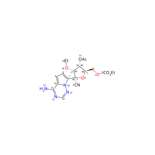 CCOC(=O)OC[C@H]1O[C@@](C#N)(c2ccc3c(N)ncnn23)[C@H](OCC)[C@@H]1OC(C)=O